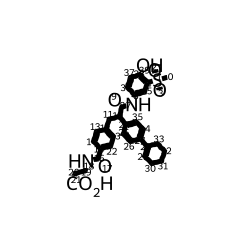 CS(=O)(=O)c1cc(NC(=O)C(Cc2ccc(C(=O)NCCC(=O)O)cc2)c2ccc(C3=CCCCC3)cc2)ccc1O